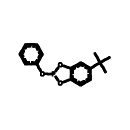 CC(C)(C)c1ccc2c(c1)OP(Oc1ccccc1)O2